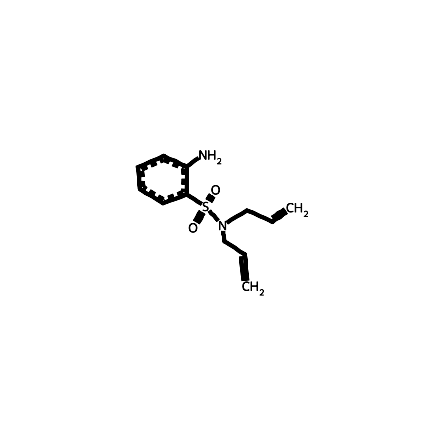 C=CCN(CC=C)S(=O)(=O)c1ccccc1N